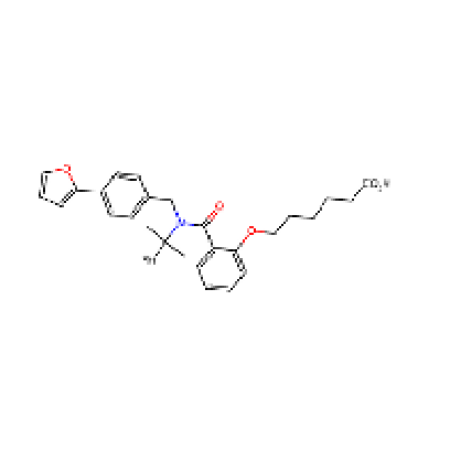 [2H]C(C)(C)N(Cc1ccc(-c2ccco2)cc1)C(=O)c1ccccc1OCCCCCC(=O)O